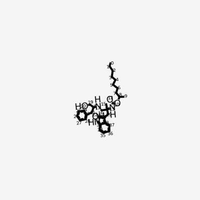 CCCCCCCCC(C)OC(=O)NC(C)(CNC(CO)C(O)c1ccccc1)Cc1c[nH]c2ccccc12